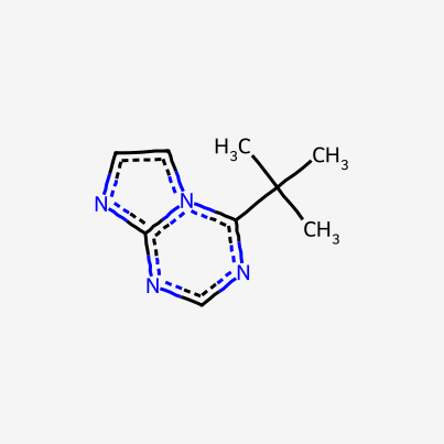 CC(C)(C)c1ncnc2nccn12